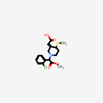 COC(=O)C(c1ccccc1Cl)N1CCC(SC)/C(=C\C(=O)O)C1